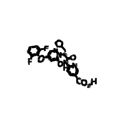 O=C(O)c1ccc(NC(=O)[C@@H](CC2CCCC2)n2ncc(Oc3c(F)cccc3F)cc2=O)nc1